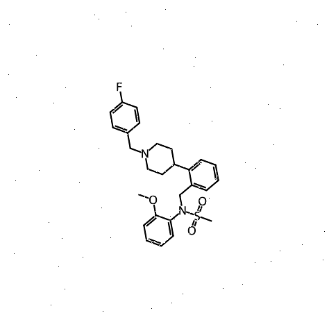 COc1ccccc1N(Cc1ccccc1C1CCN(Cc2ccc(F)cc2)CC1)S(C)(=O)=O